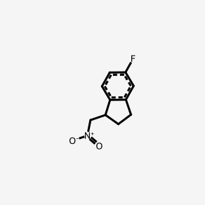 O=[N+]([O-])CC1CCc2cc(F)ccc21